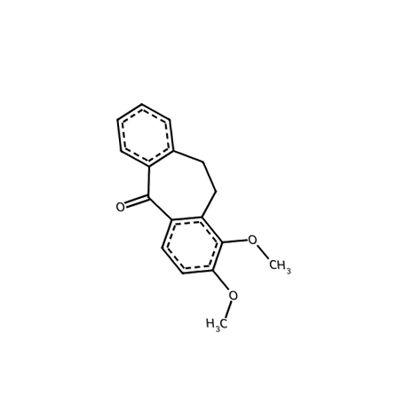 COc1ccc2c(c1OC)CCc1ccccc1C2=O